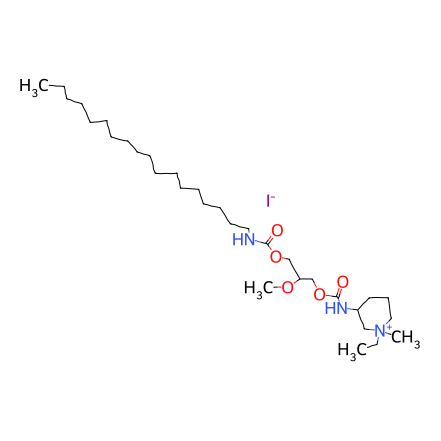 CCCCCCCCCCCCCCCCCCNC(=O)OCC(COC(=O)NC1CCC[N+](C)(CC)C1)OC.[I-]